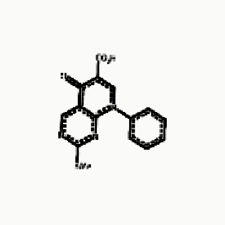 CSc1ncc2c(=O)c(C(=O)O)cn(-c3ccccc3)c2n1